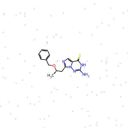 C[C@H](Cc1ncc2c(=S)[nH]c(N)nn12)OCc1ccccc1